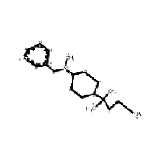 CCCC(C)(C)C1CCC(N(C)Cc2cccnc2)CC1